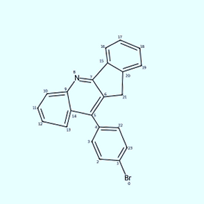 Brc1ccc(-c2c3c(nc4ccccc24)-c2ccccc2C3)cc1